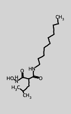 CCCCCCCCCCNC(=O)C(CC(C)C)C(=O)NO